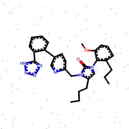 CCCCc1cn(-c2c(CCC)cccc2OC)c(=O)n1Cc1ccc(-c2ccccc2-c2nnn[nH]2)cn1